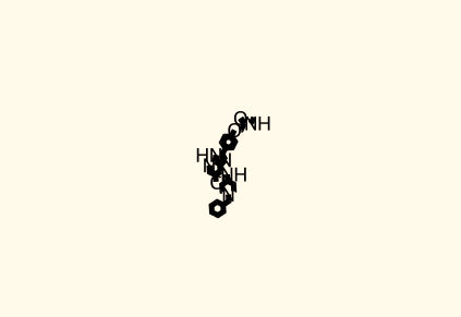 CNC(=O)COc1ccc(-c2nc3c(NC4CCN(CC5CCCCC5)CC4)c(Cl)cnc3[nH]2)cc1